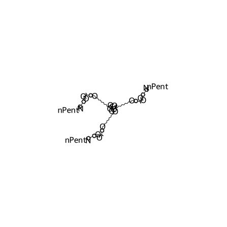 C=C(C(=O)Oc1ccc(-c2ccc(CCCCC)nc2)cc1)c1ccc(OCCCCCCCCCC(=O)OC(CC)(OC(=O)CCCCCCCCCOc2ccc(C(=C)C(=O)Oc3ccc(-c4ccc(CCCCC)nc4)cc3)cc2)OC(=O)CCCCCCCCCOc2ccc(C(=C)C(=O)Oc3ccc(-c4ccc(CCCCC)nc4)cc3)cc2)cc1